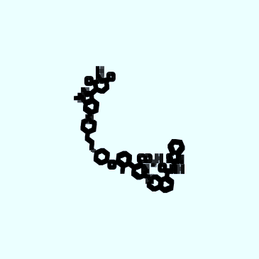 Cc1c(O[C@H]2CC[C@@H](CCCC3CCN(c4ccc5c(C6CCC(=O)NC6=O)nn(C)c5c4)CC3)CC2)cccc1-c1ccc(N2CCc3cccc(C(=O)Nc4nc5ccccc5s4)c3C2)nc1C(=O)O